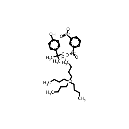 CC(C)(C)c1ccc(O)cc1.CCCC[N+](CCCC)(CCCC)CCCC.O=[N+]([O-])c1cccc([N+](=O)[O-])c1